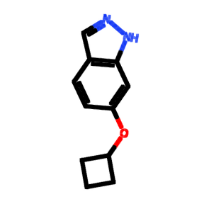 c1cc2cn[nH]c2cc1OC1CCC1